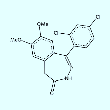 COc1cc2c(cc1OC)C(c1ccc(Cl)cc1Cl)=NNC(=O)C2